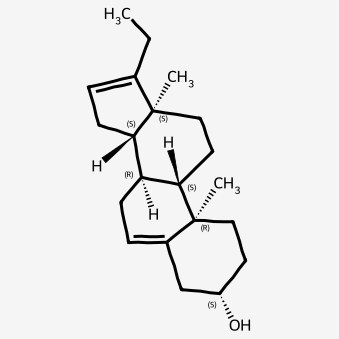 CCC1=CC[C@H]2[C@@H]3CC=C4C[C@@H](O)CC[C@]4(C)[C@H]3CC[C@]12C